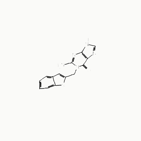 Nc1nc2[nH]cnc2c(=O)n1Cc1cc2ccccc2s1